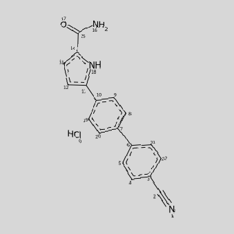 Cl.N#Cc1ccc(-c2ccc(-c3ccc(C(N)=O)[nH]3)cc2)cc1